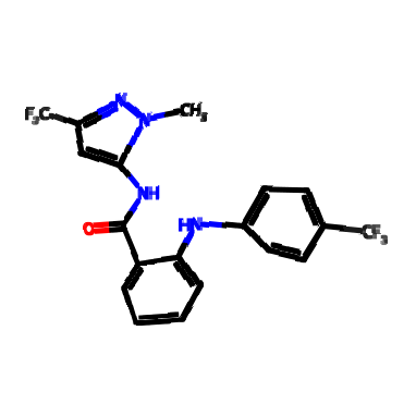 Cn1nc(C(F)(F)F)cc1NC(=O)c1ccccc1Nc1ccc(C(F)(F)F)cc1